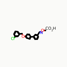 O=C(O)CO/N=C/c1cccc(-c2ccc(OCc3cccc(Cl)c3)cc2)c1